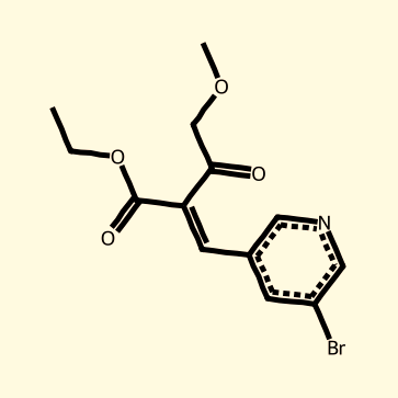 CCOC(=O)/C(=C/c1cncc(Br)c1)C(=O)COC